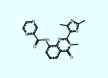 Cc1nc(C)c(-c2nc3c(NC(=O)c4cnccn4)cccc3c(=O)n2C)s1